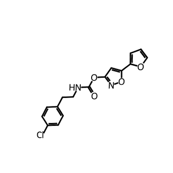 O=C(NCCc1ccc(Cl)cc1)Oc1cc(-c2ccco2)on1